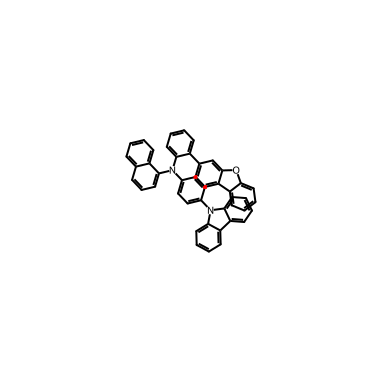 c1ccc(N(c2ccc(-n3c4ccccc4c4ccccc43)cc2)c2cccc3ccccc23)c(-c2ccc3c(c2)oc2ccccc23)c1